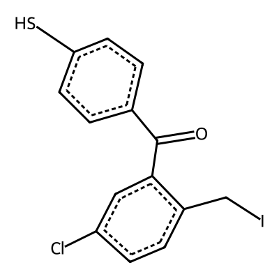 O=C(c1ccc(S)cc1)c1cc(Cl)ccc1CI